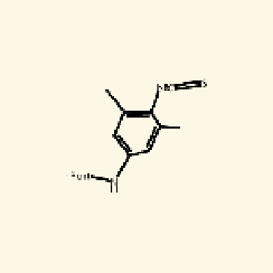 CCCCCNc1cc(C)c(N=C=S)c(C)c1